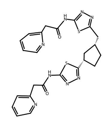 O=C(Cc1ccccn1)Nc1nnc(C[C@@H]2CC[C@H](c3nnc(NC(=O)Cc4ccccn4)s3)C2)s1